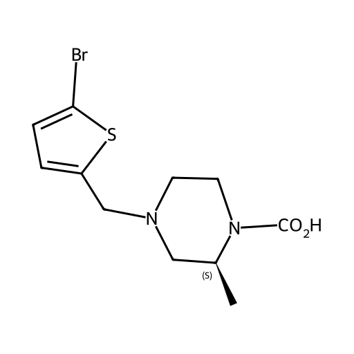 C[C@H]1CN(Cc2ccc(Br)s2)CCN1C(=O)O